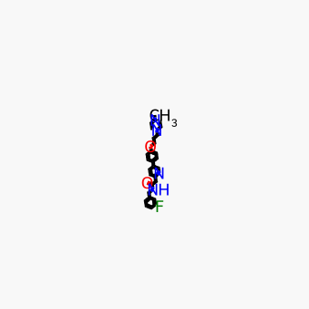 CN1CCN(CCCOc2ccc(-c3ccc(CC(=O)NCc4cccc(F)c4)nc3)cc2)CC1